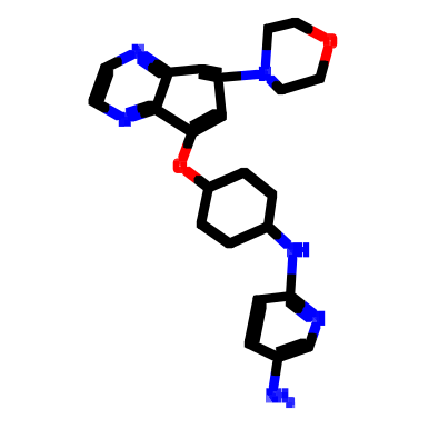 Nc1ccc(NC2CCC(Oc3cc(N4CCOCC4)cc4nccnc34)CC2)nc1